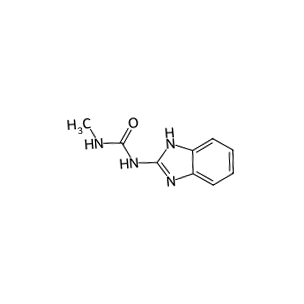 CNC(=O)Nc1nc2ccccc2[nH]1